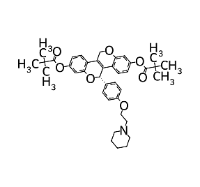 CC(C)(C)C(=O)Oc1ccc2c(c1)O[C@@H](c1ccc(OCCN3CCCCC3)cc1)C1=C2COc2cc(OC(=O)C(C)(C)C)ccc21